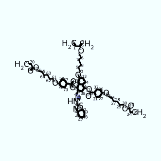 C=CC(=C)OCCCCCCOc1ccc2c(OC(=O)c3ccc(OCCCCCCOC(=O)C=C)cc3)cc(/C=N/Nc3nc4ccccc4s3)c(OC(=O)c3ccc(OCCCCCCOC(=O)C=C)cc3)c2c1